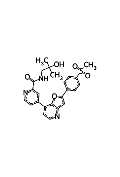 CC(C)(O)CNC(=O)c1cc(-c2ccnc3cc(-c4ccc(S(C)(=O)=O)cc4)oc23)ccn1